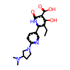 CCc1c(-c2ccc(N3CCC(N(C)C)C3)nc2)[nH]c(=O)c(C(=O)O)c1O